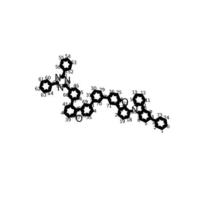 c1ccc(-c2ccc3c(c2)c2ccccc2n3-c2cccc3c2oc2ccc(-c4cccc(-c5ccc6oc7cccc(-c8cccc(-c9nc(-c%10ccccc%10)nc(-c%10ccccc%10)n9)c8)c7c6c5)c4)cc23)cc1